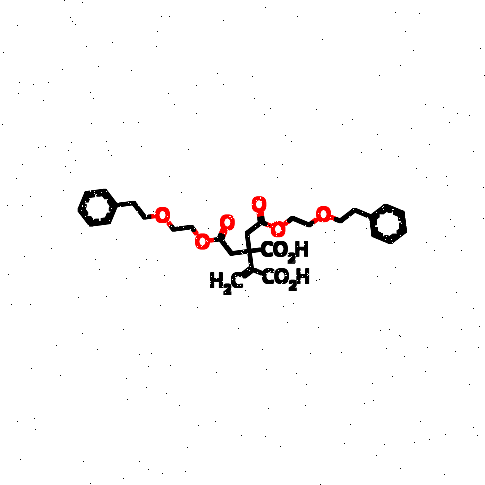 C=C(C(=O)O)C(CC(=O)OCCOCCc1ccccc1)(CC(=O)OCCOCCc1ccccc1)C(=O)O